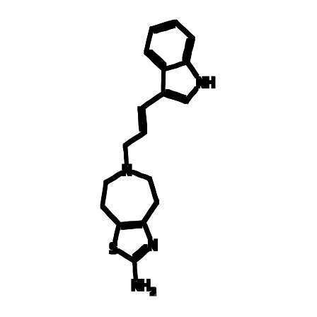 Nc1nc2c(s1)CCN(C/C=C/c1c[nH]c3ccccc13)CC2